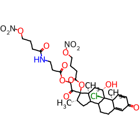 C[C@H]1CC2C3CCC4=CC(=O)C=C[C@]4(C)[C@@]3(Cl)[C@@H](O)C[C@]2(C)[C@@]1(OC(=O)CCCO[N+](=O)[O-])C(=O)COC(=O)CCNC(=O)CCCO[N+](=O)[O-]